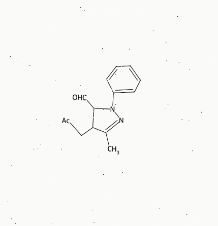 CC(=O)CC1C(C)=NN(c2ccccc2)C1C=O